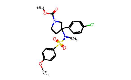 CN(C1(c2ccc(Cl)cc2)CCN(C(=O)OC(C)(C)C)C1)S(=O)(=O)c1ccc(OC(F)(F)F)cc1